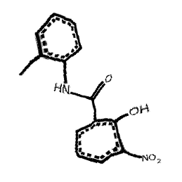 Cc1ccccc1NC(=O)c1cccc([N+](=O)[O-])c1O